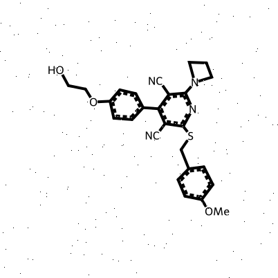 COc1ccc(CSc2nc(N3CCC3)c(C#N)c(-c3ccc(OCCO)cc3)c2C#N)cc1